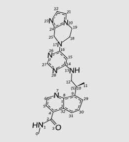 CNC(=O)c1ccnc2c([C@H](C)CNc3cc(N4CCn5ccnc5C4)ncn3)cccc12